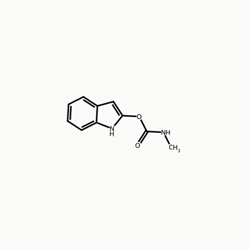 CNC(=O)Oc1cc2ccccc2[nH]1